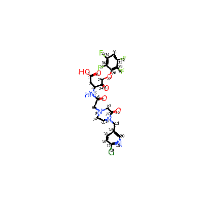 O=C(O)CC(NC(=O)CN1CCN(Cc2ccc(Cl)nc2)C(=O)C1)C(=O)COc1c(F)c(F)cc(F)c1F